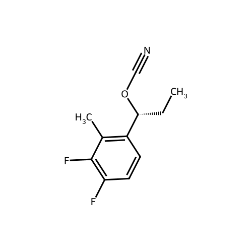 CC[C@@H](OC#N)c1ccc(F)c(F)c1C